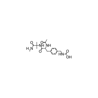 CC(=O)NC(Cc1ccc(CNC(=O)O)cc1)C(=O)NC(C)(C)C(N)=O